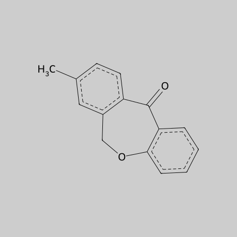 Cc1ccc2c(c1)COc1ccccc1C2=O